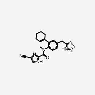 CN(C(=O)c1nc(C#N)c[nH]1)c1ccc(Cc2nnn[nH]2)cc1C1=CCCCC1